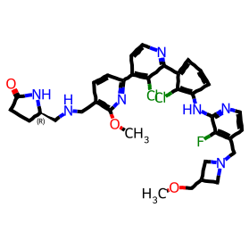 COCC1CN(Cc2ccnc(Nc3cccc(-c4nccc(-c5ccc(CNC[C@H]6CCC(=O)N6)c(OC)n5)c4Cl)c3Cl)c2F)C1